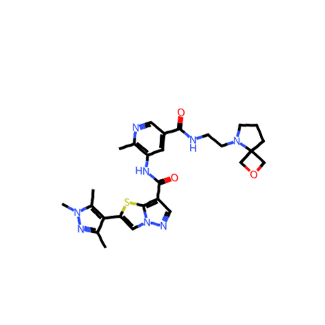 Cc1ncc(C(=O)NCCN2CCCC23COC3)cc1NC(=O)c1cnn2cc(-c3c(C)nn(C)c3C)sc12